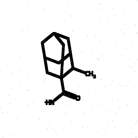 CC1C2CC3CC(C2)CC1(C([NH])=O)C3